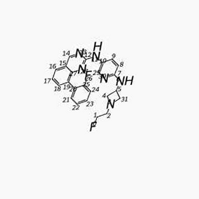 FCCN1CC(Nc2ccc(Nc3ncc4cccc(-c5ccccc5F)c4n3)cn2)C1